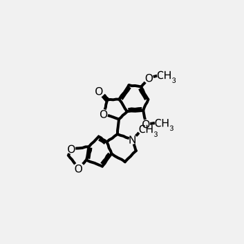 COc1cc(OC)c2c(c1)C(=O)OC2C1c2cc3c(cc2CCN1C)OCO3